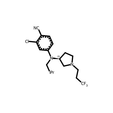 CC(C)CN(c1ccc(C#N)c(Cl)c1)[C@H]1CCN(CCC(F)(F)F)C1